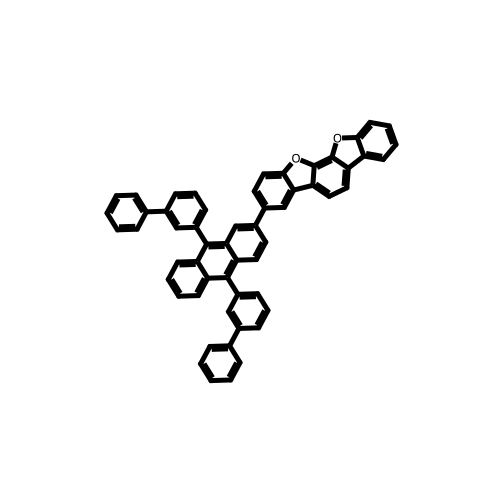 c1ccc(-c2cccc(-c3c4ccccc4c(-c4cccc(-c5ccccc5)c4)c4cc(-c5ccc6oc7c(ccc8c9ccccc9oc87)c6c5)ccc34)c2)cc1